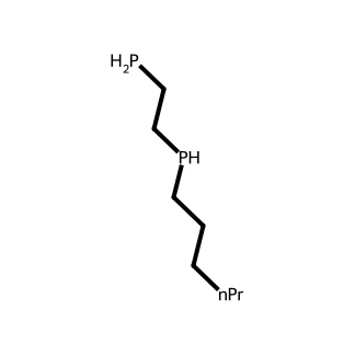 CCCCCCPCCP